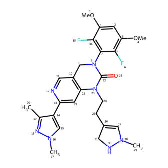 COc1cc(OC)c(F)c(N2Cc3cnc(-c4cn(C)nc4C)cc3N(CCC3=CN(C)NC3)C2=O)c1F